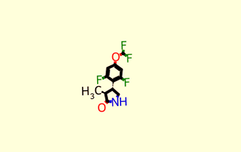 C[C@@H]1C(=O)NC[C@H]1c1c(F)cc(OC(F)F)cc1F